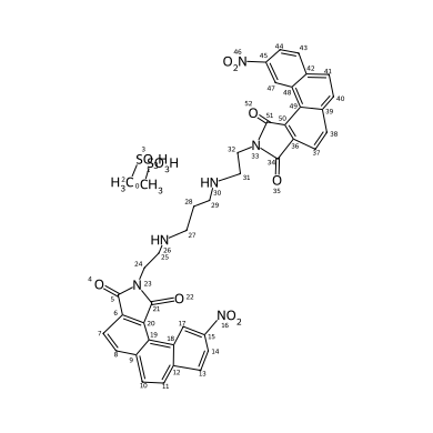 CS(=O)(=O)O.CS(=O)(=O)O.O=C1c2ccc3ccc4ccc([N+](=O)[O-])cc4c3c2C(=O)N1CCNCCCNCCN1C(=O)c2ccc3ccc4ccc([N+](=O)[O-])cc4c3c2C1=O